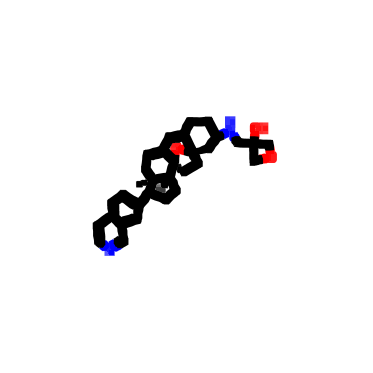 C[C@]12CC=C3C=C4CCC(NCC5(O)COC5)C[C@]45CC[C@]3(O5)[C@@H]1CCC2c1ccc2ccncc2c1